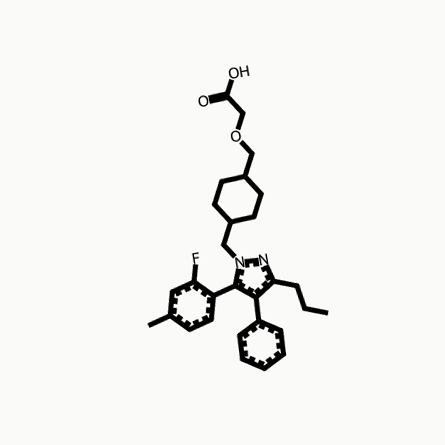 CCCc1nn(CC2CCC(COCC(=O)O)CC2)c(-c2ccc(C)cc2F)c1-c1ccccc1